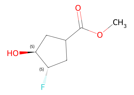 COC(=O)C1C[C@H](O)[C@@H](F)C1